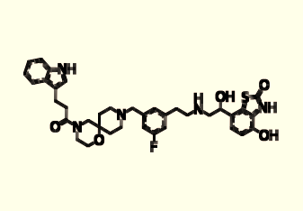 O=C(CCc1c[nH]c2ccccc12)N1CCOC2(CCN(Cc3cc(F)cc(CCNCC(O)c4ccc(O)c5[nH]c(=O)sc45)c3)CC2)C1